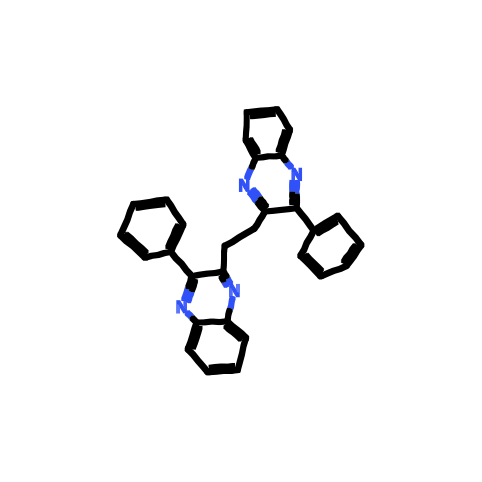 c1ccc(-c2nc3ccccc3nc2CCc2nc3ccccc3nc2-c2ccccc2)cc1